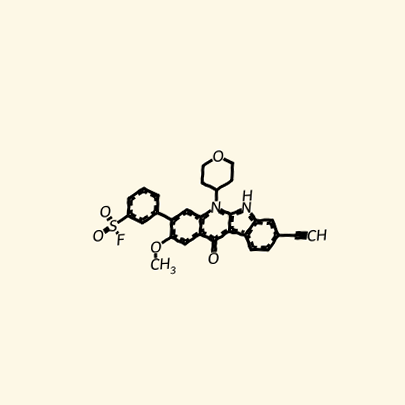 C#Cc1ccc2c(c1)[nH]c1c2c(=O)c2cc(OC)c(-c3cccc(S(=O)(=O)F)c3)cc2n1C1CCOCC1